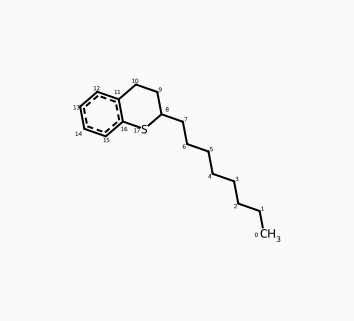 CCCCCCCCC1CCc2ccccc2S1